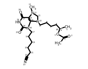 CC(=O)O[C@H](C)CCCCN1CN(C)c2c1n(CCCCCC#N)c(=O)[nH]c2=O